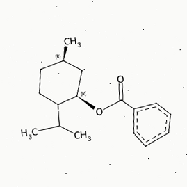 CC(C)C1CC[C@@H](C)C[C@H]1OC(=O)c1ccccc1